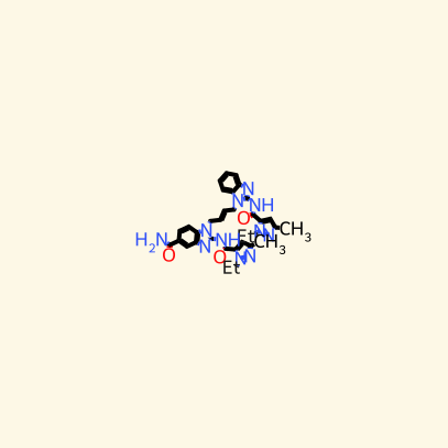 CCn1nc(C)cc1C(=O)Nc1nc2ccccc2n1C/C=C/Cn1c(NC(=O)c2cc(C)nn2CC)nc2cc(C(N)=O)ccc21